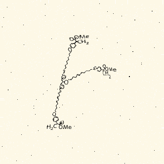 C=C(C(=O)OC)c1ccc(OCCCCCCCCCCCCOCC(COCCCCCCCCCCCCOc2ccc(C(=C)C(=O)OC)cc2)OCCCCCCCCCCCCOc2ccc(C(=C)C(=O)OC)cc2)cc1